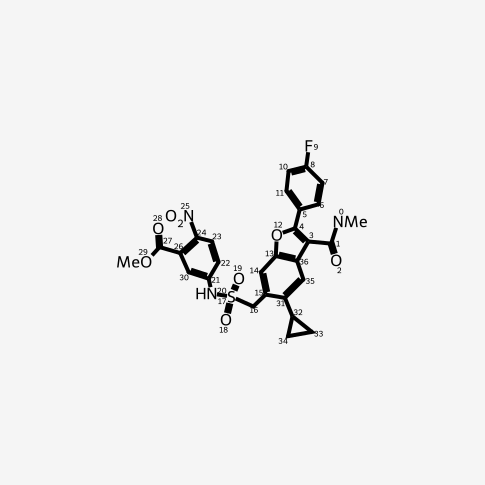 CNC(=O)c1c(-c2ccc(F)cc2)oc2cc(CS(=O)(=O)Nc3ccc([N+](=O)[O-])c(C(=O)OC)c3)c(C3CC3)cc12